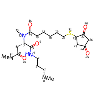 CNCCCNC(=O)[C@H](CC(=O)NC)N(C)C(=O)CCCCCSC1CC(=O)CC1=O